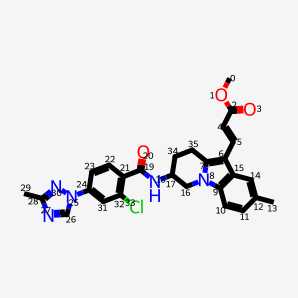 COC(=O)/C=C/c1c2n(c3ccc(C)cc13)CC(NC(=O)c1ccc(-n3cnc(C)n3)cc1Cl)CC2